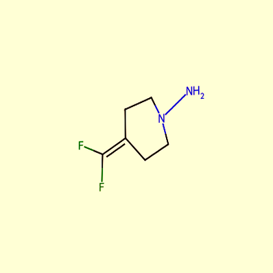 NN1CCC(=C(F)F)CC1